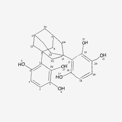 Oc1ccc(O)c(C23CC4CC(C2)CC(c2c(O)ccc(O)c2O)(C4)C3)c1O